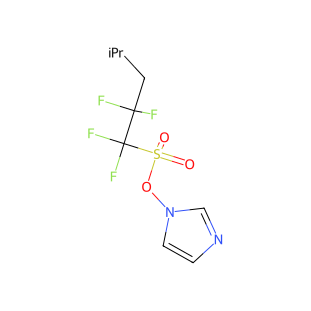 CC(C)CC(F)(F)C(F)(F)S(=O)(=O)On1ccnc1